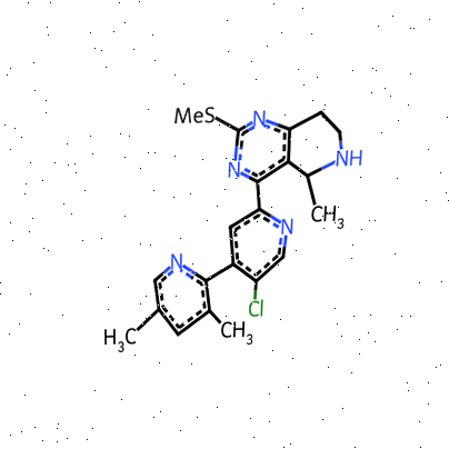 CSc1nc2c(c(-c3cc(-c4ncc(C)cc4C)c(Cl)cn3)n1)C(C)NCC2